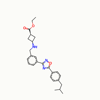 CCOC(=O)[C@H]1C[C@@H](NCc2cccc(-c3noc(-c4ccc(CC(C)C)cc4)n3)c2)C1